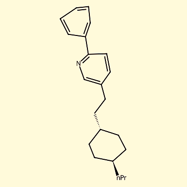 CCC[C@H]1CC[C@H](CCc2ccc(-c3ccccc3)nc2)CC1